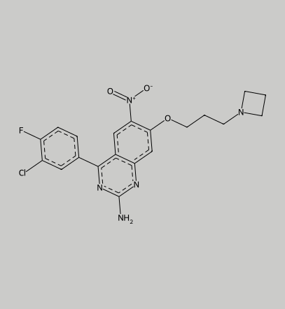 Nc1nc(-c2ccc(F)c(Cl)c2)c2cc([N+](=O)[O-])c(OCCCN3CCC3)cc2n1